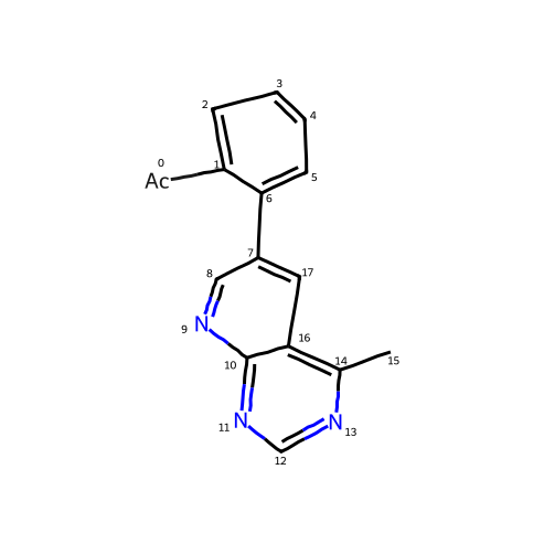 CC(=O)c1ccccc1-c1cnc2ncnc(C)c2c1